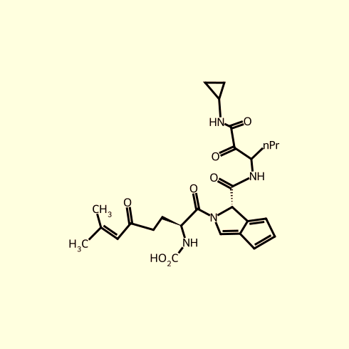 CCCC(NC(=O)[C@@H]1C2=CC=CC2=CN1C(=O)[C@H](CCC(=O)C=C(C)C)NC(=O)O)C(=O)C(=O)NC1CC1